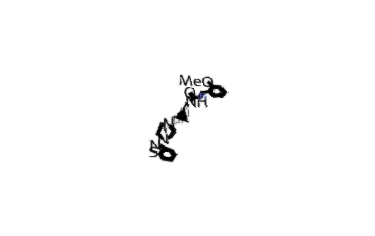 COc1ccccc1/C=C/C(=O)NC[C@H]1C[C@@H]1CN1CCN(c2nsc3ccccc23)CC1